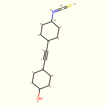 OC1CCC(C#CC2CCC(N=C=S)CC2)CC1